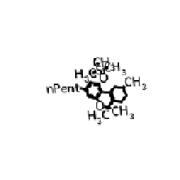 CCCCCc1cc2c(c(O[Si](C)(C)C)c1)C1=C(CCC(C)C1)C(C)(C)O2